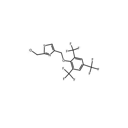 [O]Cc1nc(COc2c(C(F)(F)F)cc(C(F)(F)F)cc2C(F)(F)F)cs1